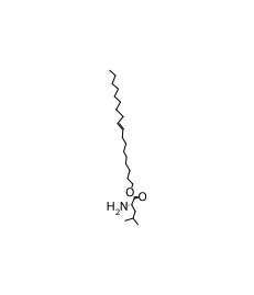 CCCCCCCCC=CCCCCCCCCOC(=O)[C@@H](N)CC(C)C